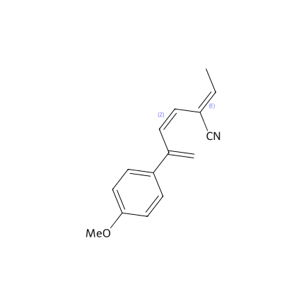 C=C(/C=C\C(C#N)=C/C)c1ccc(OC)cc1